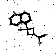 O=C(O)C1CC(O)(c2cccc3ncccc23)C1